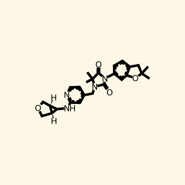 CC1(C)Cc2ccc(N3C(=O)N(Cc4ccnc(NC5[C@H]6COC[C@@H]56)c4)C(C)(C)C3=O)cc2O1